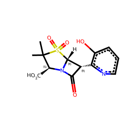 CC1(C)[C@H](C(=O)O)N2C(=O)[C@@H](c3ncccc3O)[C@H]2S1(=O)=O